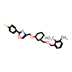 Cc1cccc(COCC2CCCC(OCc3coc(-c4ccc(F)cc4)n3)C2)c1C(=O)O